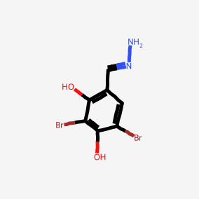 NN=Cc1cc(Br)c(O)c(Br)c1O